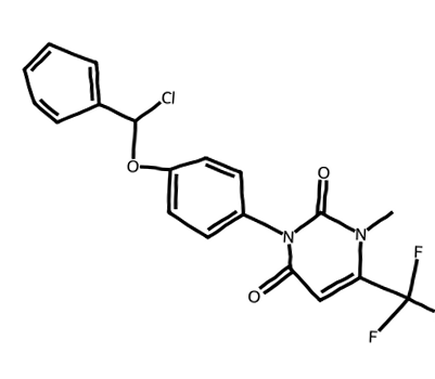 Cn1c(C(F)(F)F)cc(=O)n(-c2ccc(OC(Cl)c3ccccc3)cc2)c1=O